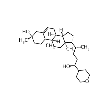 C[C@H](CC[C@H](O)C1CCOCC1)[C@H]1CC[C@H]2[C@@H]3CC=C4C[C@@](C)(O)CC[C@]4(C)[C@H]3CC[C@]12C